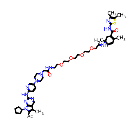 CC(=O)c1c(C)c2cnc(Nc3ccc(N4CCN(CC(=O)NCCOCCOCCOCCOCCNC5(C)C=CC(C)=C(C(=O)Nc6nc(C)c(C)s6)C5)CC4)cn3)nc2n1C1CCCC1